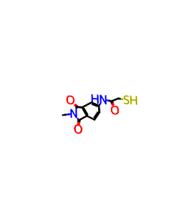 CN1C(=O)c2ccc(NC(=O)CS)cc2C1=O